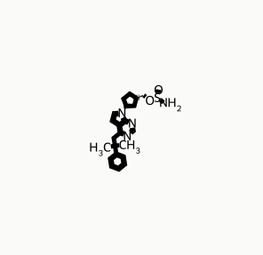 CC(C)(Cc1ncnc2c1ccn2[C@H]1CC[C@H](COS(N)=O)C1)c1ccccc1